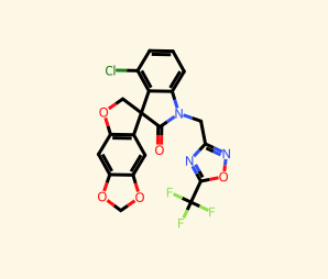 O=C1N(Cc2noc(C(F)(F)F)n2)c2cccc(Cl)c2C12COc1cc3c(cc12)OCO3